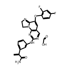 C=C(C(N)=O)c1cccc(Nc2ncc3c(n2)N2CCN=C2C(Oc2ccc(F)cc2F)=C3)c1.O=CO